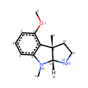 COc1cccc2c1[C@]1(C)CCN[C@@H]1N2C